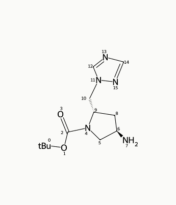 CC(C)(C)OC(=O)N1C[C@H](N)C[C@H]1Cn1cncn1